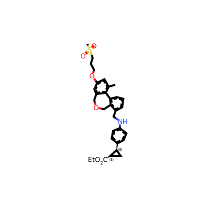 CCOC(=O)[C@H]1C[C@@H]1c1ccc(NCc2cccc3c2COCc2cc(OCCCS(C)(=O)=O)cc(C)c2-3)cc1